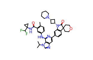 Cc1ccc(Nc2nc(-c3ccc4c(c3)N([C@H]3C[C@@H](N5CCCCC5)C3)C(=O)C43CCOCC3)cc3ncn(C(C)C)c23)cc1C(=O)NC1(C(F)F)CC1